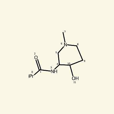 CC(C)C(=O)NC1CN(C)CCC1O